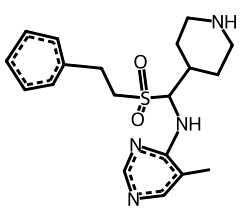 Cc1cncnc1NC(C1CCNCC1)S(=O)(=O)CCc1ccccc1